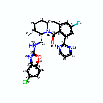 Cc1cc(F)cc(-c2ncccn2)c1C(=O)N1CCC[C@@H](C)[C@H]1CNc1nc2cc(Cl)ccc2o1